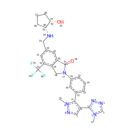 Cn1cnnc1-c1cnn(C)c1-c1cccc(N2Cc3c(cc(CN[C@@H]4CCC[C@@H]4O)cc3C(F)(F)F)C2=O)c1